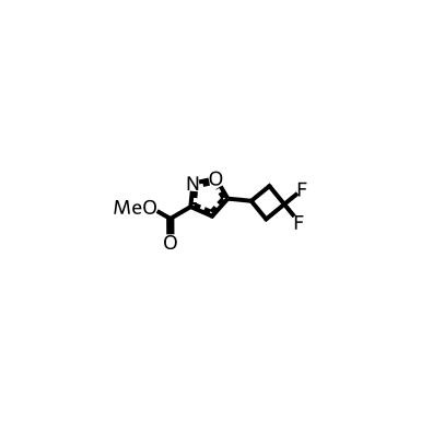 COC(=O)c1cc(C2CC(F)(F)C2)on1